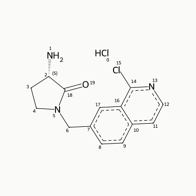 Cl.N[C@H]1CCN(Cc2ccc3ccnc(Cl)c3c2)C1=O